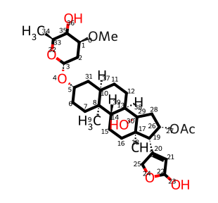 CO[C@H]1C[C@H](O[C@H]2CC[C@@]3(C)[C@H](CC[C@@H]4[C@@H]3CC[C@]3(C)[C@@H](C5=CC(O)OC5)[C@@H](OC(C)=O)C[C@]43O)C2)O[C@@H](C)C1O